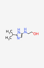 CC(C)c1ncc(NCCO)[nH]1